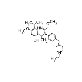 C=C(c1cc(C(C)C)c(OC)cc1O)N(C(=N)COC)c1ccc(CN2CCN(CC)CC2)cc1